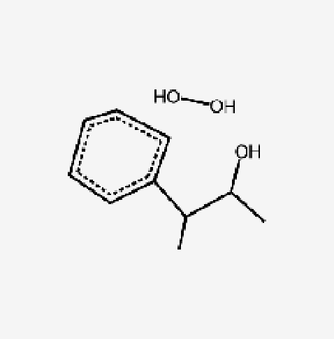 CC(O)C(C)c1ccccc1.OO